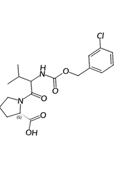 CC(C)C(NC(=O)OCc1cccc(Cl)c1)C(=O)N1CCC[C@H]1C(=O)O